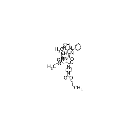 CCCCOC(=O)N1CCN(C(=O)[C@H](CP(=O)(OCC)OCC)NC(=O)c2cc(N(C)C)nc(-c3ccccc3)n2)CC1